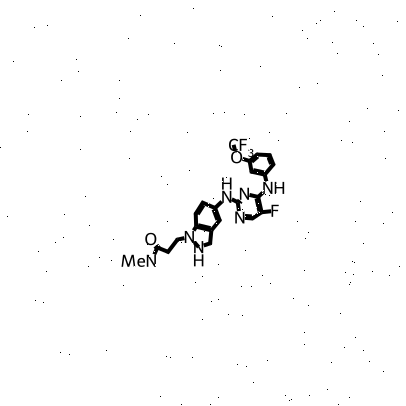 CNC(=O)CCN1NCc2cc(Nc3ncc(F)c(Nc4cccc(OC(F)(F)F)c4)n3)ccc21